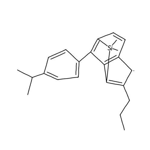 CCCC1=C2c3c(ccc(c3-c3ccc(C(C)C)cc3)[Si]2(C)C)[CH]1